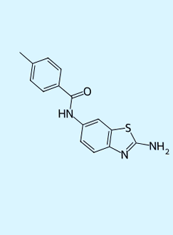 Cc1ccc(C(=O)Nc2ccc3nc(N)sc3c2)cc1